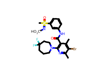 Cc1nc(N2CCCC(F)(F)CC2)c(C(=O)Nc2cccc(S(C)(=O)=NC(=O)O)c2)c(C)c1Br